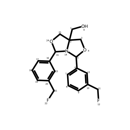 OCC12COC(c3cccc(CF)c3)N1C(c1cccc(CF)c1)OC2